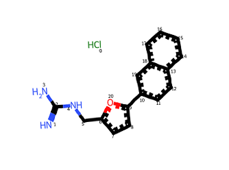 Cl.N=C(N)NCc1ccc(-c2ccc3ccccc3c2)o1